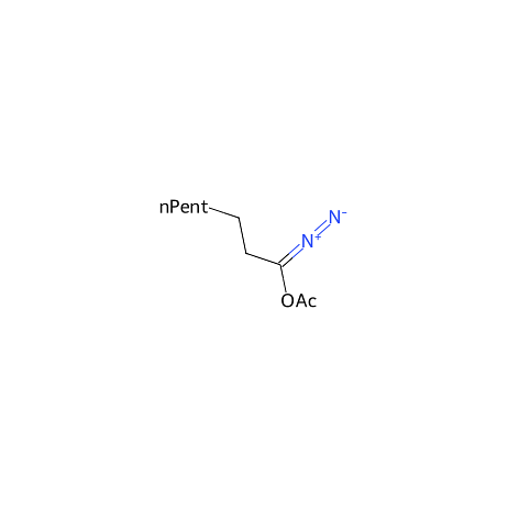 CCCCCCCC(=[N+]=[N-])OC(C)=O